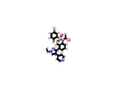 CCn1cc(-c2ccncc2)c(-c2cccc(N(C(C)=O)S(=O)(=O)c3cc(F)ccc3F)c2C)n1